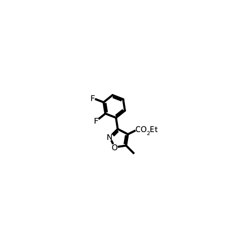 CCOC(=O)c1c(-c2cccc(F)c2F)noc1C